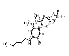 CCCCCNc1nc(OC)c(-c2ccc(OC(F)(F)F)cc2OC)nc1Br